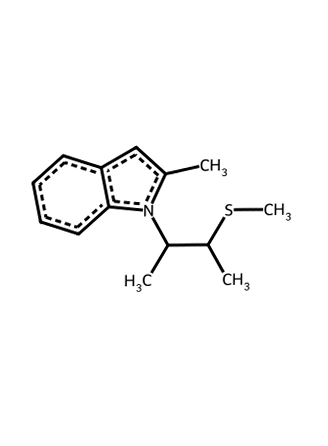 CSC(C)C(C)n1c(C)cc2ccccc21